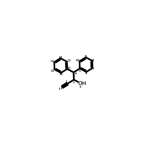 OC(C#I)C(c1ccccc1)c1ccccc1